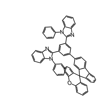 c1ccc(-n2c(-c3cc(-c4ccc5c(c4)C4(c6ccccc6Oc6ccccc64)c4ccccc4-5)cc(-c4nc5ccccc5n4-c4ccccc4)c3)nc3ccccc32)cc1